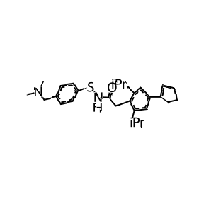 CC(C)c1cc(C2=CCCC2)cc(C(C)C)c1CC(=O)NSc1ccc(CN(C)C)cc1